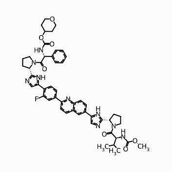 COC(=O)N[C@H](C(=O)N1CCC[C@H]1c1ncc(-c2ccc3nc(-c4ccc(-c5cnc([C@@H]6CCCN6C(=O)[C@H](NC(=O)OC6CCOCC6)c6ccccc6)[nH]5)c(F)c4)ccc3c2)[nH]1)C(C)C